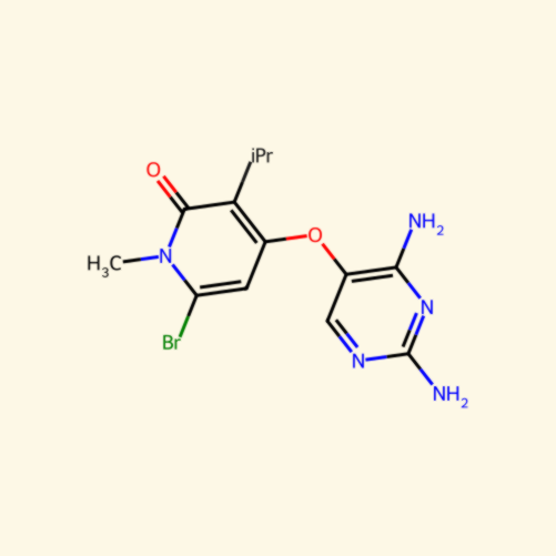 CC(C)c1c(Oc2cnc(N)nc2N)cc(Br)n(C)c1=O